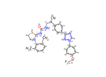 Cc1cccc(C)c1N1CCS/C1=N\C(=O)NCC(C#N)c1ccc(-c2ncn(-c3ccc(OC(F)(F)F)cc3)n2)cc1